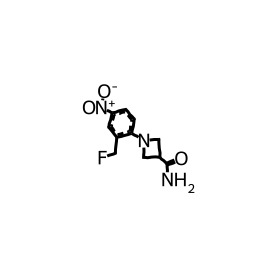 NC(=O)C1CN(c2ccc([N+](=O)[O-])cc2CF)C1